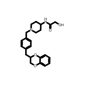 O=C(CO)NC1CCN(Cc2ccc(CC3COc4ccccc4O3)cc2)CC1